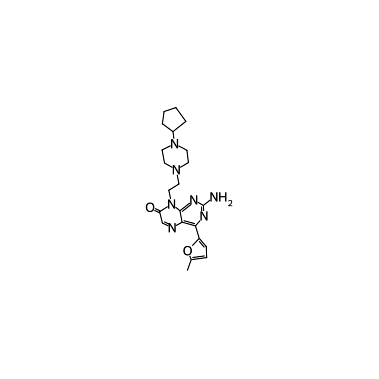 Cc1ccc(-c2nc(N)nc3c2ncc(=O)n3CCN2CCN(C3CCCC3)CC2)o1